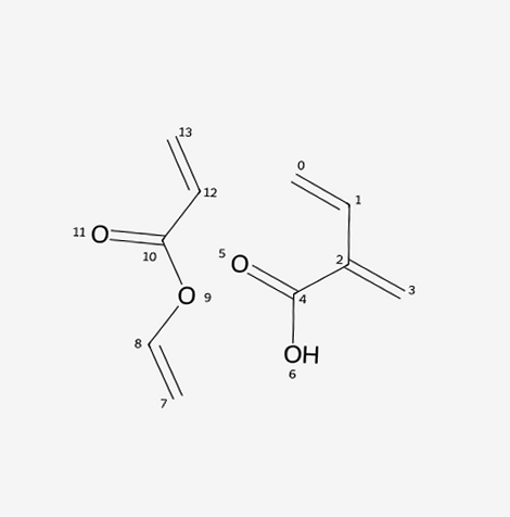 C=CC(=C)C(=O)O.C=COC(=O)C=C